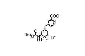 CC(C)(C)OC(=O)N[C@H]1CN(Cc2ccnc(C(=O)[O-])c2)CCC1(F)F.[Li+]